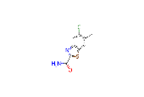 Cc1cc2sc(C(N)=O)nc2cc1Cl